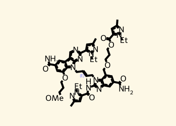 CCn1nc(C)cc1C(=O)Nc1nc2cc(C(N)=O)cc(COCCCOC(=O)c3cc(C)nn3CC)c2n1C/C=C/Cn1c2nc(-c3cc(C)nn3CC)ncc2c2cc(C(N)=O)cc(OCCCOC)c21